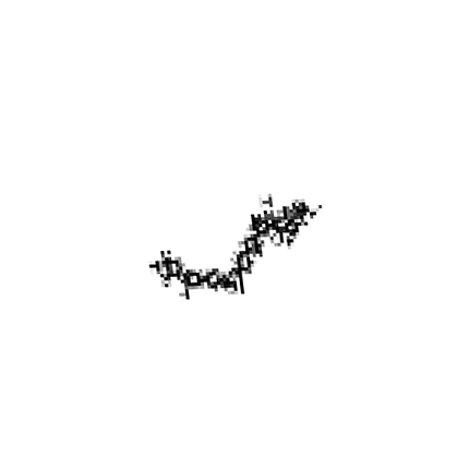 CCCS(=O)(=O)Nc1ccc(F)c(C(=O)c2c[nH]c3ncc(-c4ccc(N5CCC(NCC(=O)N6CCC(c7ccc(NC8CCC(=O)NC8=O)cc7)CC6)CC5)nc4)cc23)c1F